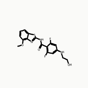 COc1cccc2sc(NC(=O)c3c(F)cc(NCCO)cc3F)nc12